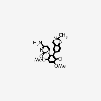 COc1cc(OC)c(-n2ccc(N)nc2=O)c(-c2ccc3nc(C)ncc3c2)c1Cl